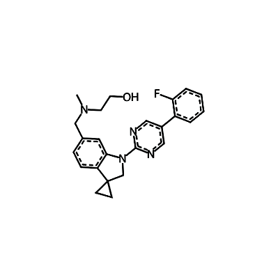 CN(CCO)Cc1ccc2c(c1)N(c1ncc(-c3ccccc3F)cn1)CC21CC1